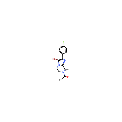 CCC(=O)N1CCn2c(nc(-c3ccc(F)cc3)c2Br)[C@H]1C